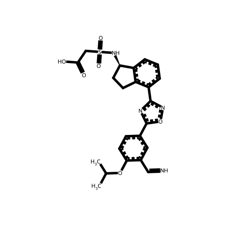 CC(C)Oc1ccc(-c2nc(-c3cccc4c3CC[C@H]4NS(=O)(=O)CC(=O)O)no2)cc1C=N